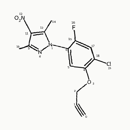 C#CCOc1cc(-n2nc(C)c([N+](=O)[O-])c2C)c(F)cc1Cl